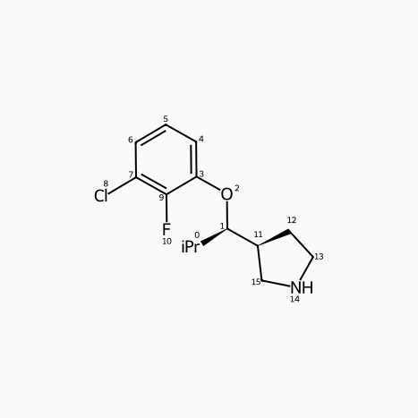 CC(C)[C@@H](Oc1cccc(Cl)c1F)[C@H]1CCNC1